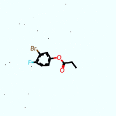 CCC(=O)Oc1ccc(F)c(Br)c1